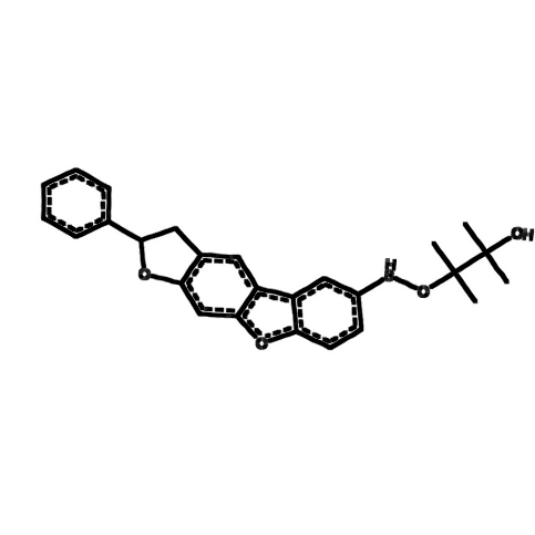 CC(C)(O)C(C)(C)OBc1ccc2oc3cc4c(cc3c2c1)CC(c1ccccc1)O4